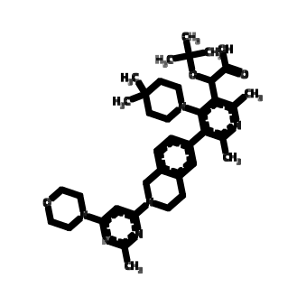 Cc1nc(N2CCOCC2)cc(N2CCc3cc(-c4c(C)nc(C)c(C(OC(C)(C)C)C(=O)O)c4N4CCC(C)(C)CC4)ccc3C2)n1